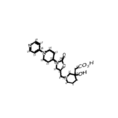 O=C(O)CC1(O)CCCN(CC2CN(C3CCN(c4ccncc4)CC3)C(=O)O2)C1